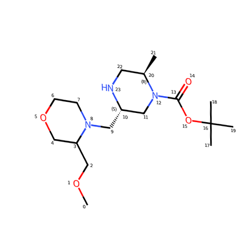 COCC1COCCN1C[C@H]1CN(C(=O)OC(C)(C)C)[C@H](C)CN1